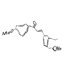 COc1ccc(C(=O)C=Cc2ccc(OC)c(C)c2)cc1